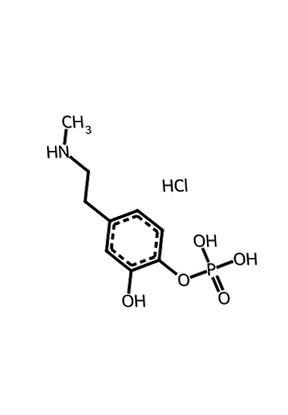 CNCCc1ccc(OP(=O)(O)O)c(O)c1.Cl